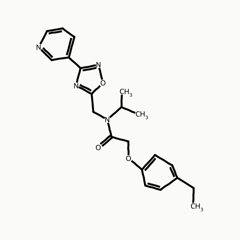 CCc1ccc(OCC(=O)N(Cc2nc(-c3cccnc3)no2)C(C)C)cc1